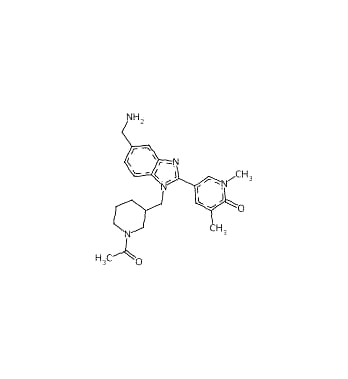 CC(=O)N1CCCC(Cn2c(-c3cc(C)c(=O)n(C)c3)nc3cc(CN)ccc32)C1